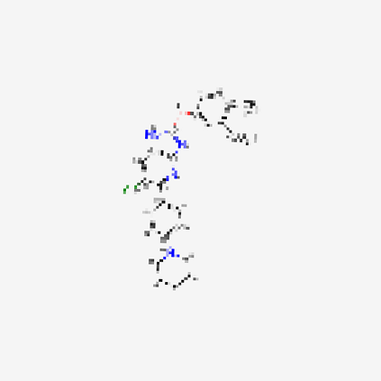 O=C(O)c1cc(Oc2nc3nc(-c4ccc(N5CCCCC5)cc4)c(Cl)cc3[nH]2)ccc1C(F)(F)F